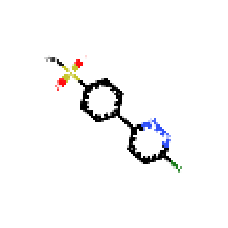 CCCCS(=O)(=O)c1ccc(-c2ccc(Cl)nn2)cc1